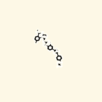 COC(C)c1ccc(C)cc1N1C(=O)CSC1=NC(=O)Nc1ccc(-c2nnc(-c3ccc(OC(F)(F)F)cc3)o2)cc1F